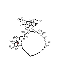 C[C@@H]1[C@H](O)[C@@H](C)/C=C/C=C/C=C/C=C/C=C/C=C/C=C/[C@H](O[C@@H]2O[C@H](C)[C@@H](O)[C@H](N)[C@@H]2O)C[C@@H]2O[C@](O)(C[C@@H](O)C[C@@H](O)[C@H](O)CC[C@@H](O)C[C@@H](O)CC(=O)O[C@H]1C)C[C@H](O)[C@H]2C(=O)O.C[C@H](CCC(=O)[O-])[C@H]1CC[C@H]2[C@@H]3CC[C@@H]4C[C@H](O)CC[C@]4(C)[C@H]3C[C@H](O)[C@]12C.[Na+]